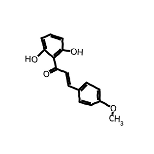 COc1ccc(C=CC(=O)c2c(O)cccc2O)cc1